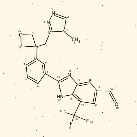 Cn1cnnc1CC1(c2cccc(-c3nc4cc(C=O)cc(C(F)(F)F)c4[nH]3)c2)COC1